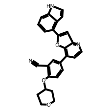 N#Cc1cc(-c2ccnc3cc(-c4cccc5[nH]ccc45)oc23)ccc1OC1CCOCC1